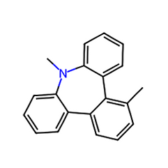 Cc1cccc2c1-c1ccccc1N(C)c1ccccc1-2